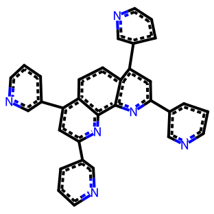 c1cncc(-c2cc(-c3cccnc3)c3ccc4c(-c5cccnc5)cc(-c5cccnc5)nc4c3n2)c1